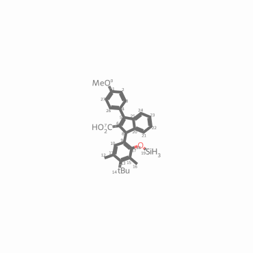 COc1ccc(C2=C(C(=O)O)C(c3cc(C)c(C(C)(C)C)c(C)c3O[SiH3])c3ccccc32)cc1